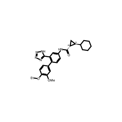 CCOc1ccc(-c2ccc(NC(=O)[C@@H]3C[C@H]3C3CCCCC3)cc2-c2nnn[nH]2)cc1OC